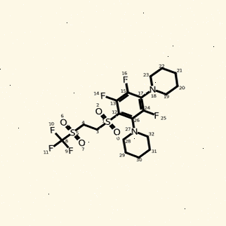 O=S(=O)(CCS(=O)(=O)C(F)(F)F)c1c(F)c(F)c(N2CCCCC2)c(F)c1N1CCCCC1